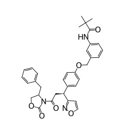 CC(C)(C)C(=O)Nc1cccc(COc2ccc([C@H](CC(=O)N3C(=O)OCC3Cc3ccccc3)c3ccon3)cc2)c1